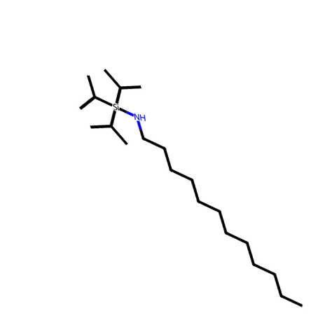 CCCCCCCCCCCCN[Si](C(C)C)(C(C)C)C(C)C